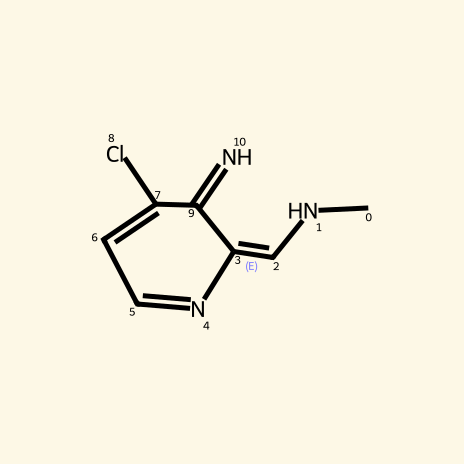 CN/C=C1/N=CC=C(Cl)C1=N